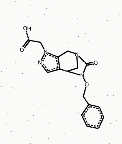 O=C(O)Cn1ncc2c1CN1CC2N(OCc2ccccc2)C1=O